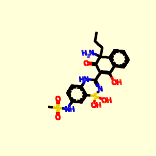 CCCC1(N)C(=O)C(C2=NS(O)(O)c3cc(NS(C)(=O)=O)ccc3N2)=C(O)c2ccccc21